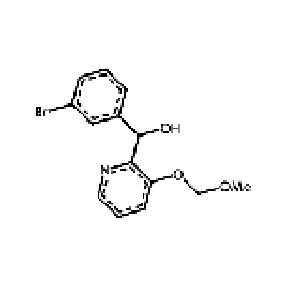 COCOc1cccnc1C(O)c1cccc(Br)c1